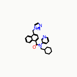 O=C(c1ccc(Cn2ccnn2)c2ccccc12)N(CC1CCCCC1)c1cccnc1